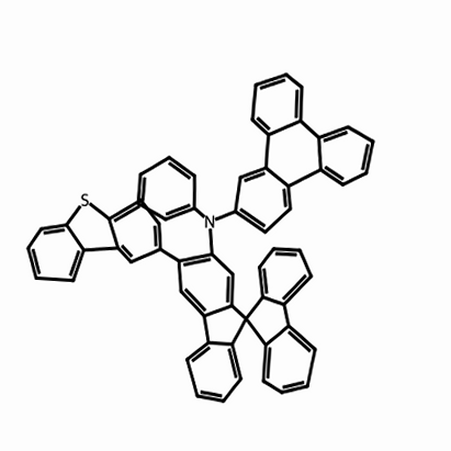 c1ccc(N(c2ccc3c4ccccc4c4ccccc4c3c2)c2cc3c(cc2-c2ccc4sc5ccccc5c4c2)-c2ccccc2C32c3ccccc3-c3ccccc32)cc1